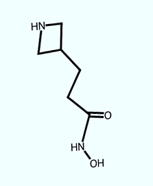 O=C(CCC1CNC1)NO